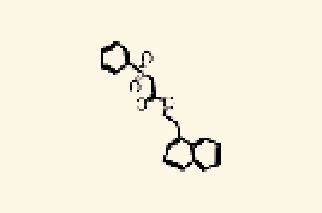 O=C(CS(=O)(=O)c1ccccc1)OCCc1cccc2ccccc12